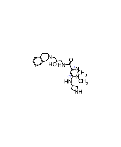 C=N/C(=C\C(=N/C)C(=O)NCC(O)CN1CCc2ccccc2C1)NC1CNC1